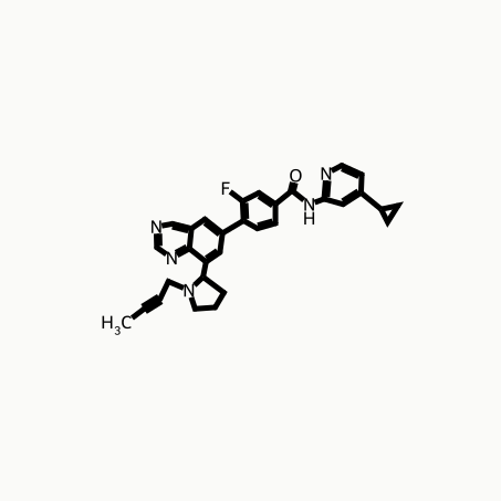 CC#CCN1CCCC1c1cc(-c2ccc(C(=O)Nc3cc(C4CC4)ccn3)cc2F)cc2cncnc12